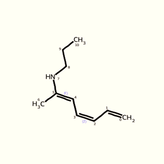 C=C/C=C\C=C(/C)NCCC